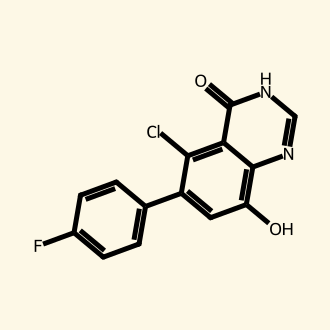 O=c1[nH]cnc2c(O)cc(-c3ccc(F)cc3)c(Cl)c12